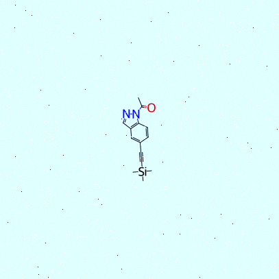 CC(=O)n1ncc2cc(C#C[Si](C)(C)C)ccc21